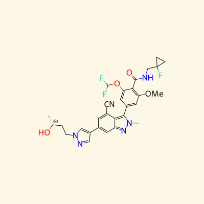 COc1cc(-c2c3c(C#N)cc(-c4cnn(CC[C@@H](C)O)c4)cc3nn2C)cc(OC(F)F)c1C(=O)NCC1(F)CC1